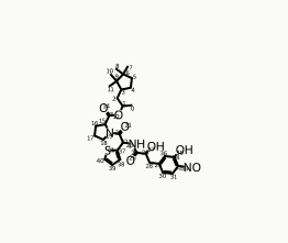 CC(CC1CCC(C)(C)C1(C)C)OC(=O)C1CCCN1C(=O)C(NC(=O)C(O)Cc1ccc(N=O)c(O)c1)c1cccs1